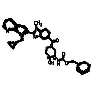 Cn1c(-c2cc3cccnc3n2CC2CC2)nc2cc(C(=O)N3CC[C@H](O)[C@@H](NC(=O)OCc4ccccc4)C3)ccc21